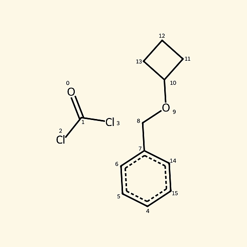 O=C(Cl)Cl.c1ccc(COC2CCC2)cc1